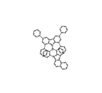 c1ccc(-c2cc(-c3ccccc3)c3c(c2)c2cc(-c4ccccc4)cc(-c4ccccc4)c2n3B2c3ccccc3-n3c4ccc5ccccc5c4c4cccc2c43)cc1